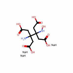 NC(CC(=O)O)(CC(=O)O)C(CC(=O)O)(CC(=O)O)NO.[NaH].[NaH].[NaH]